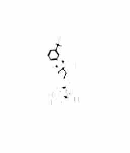 CCC(C)(CCOC(=O)NC(C)(C)C)S(=O)(=O)c1cccc(C(F)(F)F)c1